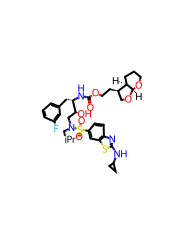 CC(C)CN(C[C@@H](O)[C@H](Cc1cccc(F)c1)NC(=O)OCC[C@@H]1CO[C@@H]2OCCC[C@H]12)S(=O)(=O)c1ccc2nc(NC3CC3)sc2c1